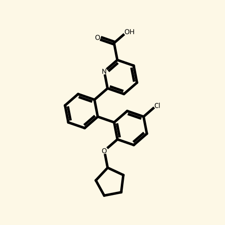 O=C(O)c1cccc(-c2ccccc2-c2cc(Cl)ccc2OC2CCCC2)n1